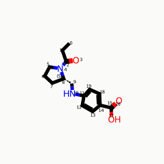 CCC(=O)N1CCC[C@H]1CNc1ccc(C(=O)O)cc1